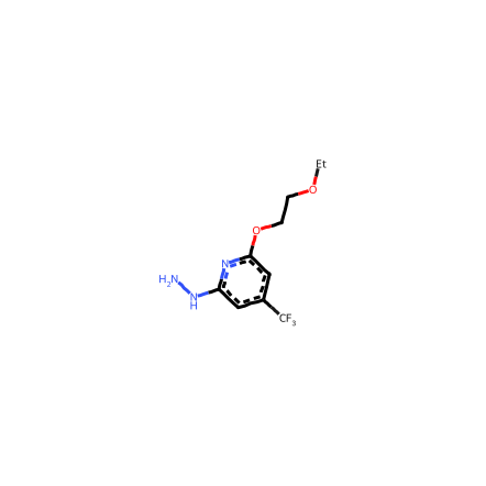 CCOCCOc1cc(C(F)(F)F)cc(NN)n1